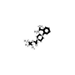 CC(N)c1ccccc1N1CCN(C(=O)OC(C)(C)C)CC1